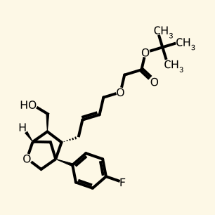 CC(C)(C)OC(=O)COC/C=C/C[C@H]1[C@H](CO)[C@@H]2C[C@@]1(c1ccc(F)cc1)CO2